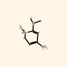 CN(C)C1=CC([N+](=O)[O-])=CC[NH+]1[O-]